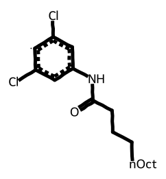 CCCCCCCCCCCC(=O)Nc1cc(Cl)[c]c(Cl)c1